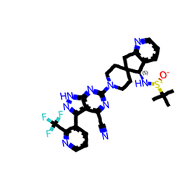 CC(C)(C)[S+]([O-])N[C@@H]1c2cccnc2CC12CCN(c1nc(C#N)c3c(-c4cccnc4C(F)(F)F)n[nH]c3n1)CC2